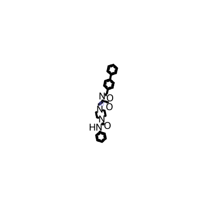 O=C1OC(c2ccc(-c3ccccc3)cc2)=N/C1=C/N1CCN(C(=O)Nc2ccccc2)CC1